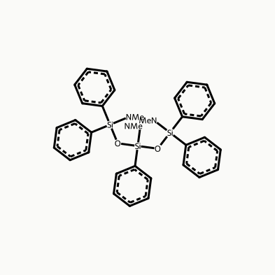 CN[Si](O[Si](NC)(c1ccccc1)c1ccccc1)(O[Si](NC)(c1ccccc1)c1ccccc1)c1ccccc1